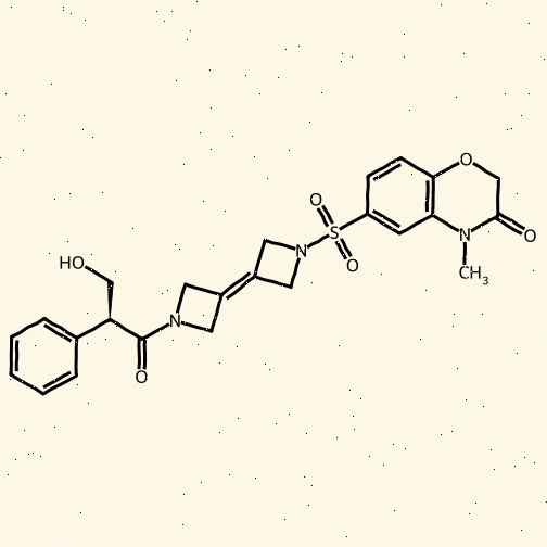 CN1C(=O)COc2ccc(S(=O)(=O)N3CC(=C4CN(C(=O)[C@H](CO)c5ccccc5)C4)C3)cc21